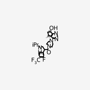 CC(C)NCC(C(=O)N1CCN(c2ncnc3c2[C@H](C)C[C@@H]3O)CC1)c1ccc(C(F)(F)F)c(F)c1